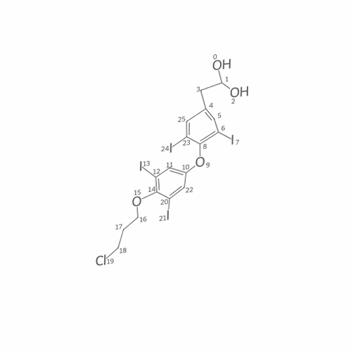 OC(O)Cc1cc(I)c(Oc2cc(I)c(OCCCCl)c(I)c2)c(I)c1